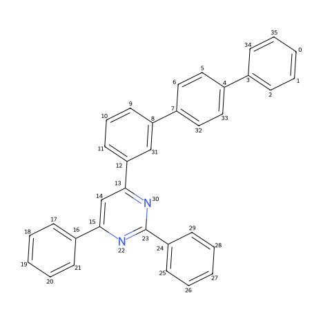 c1ccc(-c2ccc(-c3cccc(-c4cc(-c5ccccc5)nc(-c5ccccc5)n4)c3)cc2)cc1